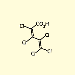 O=C(O)/C(Cl)=C(/Cl)C(Cl)=C(Cl)Cl